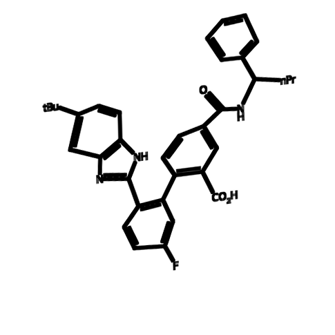 CCCC(NC(=O)c1ccc(-c2cc(F)ccc2-c2nc3cc(C(C)(C)C)ccc3[nH]2)c(C(=O)O)c1)c1ccccc1